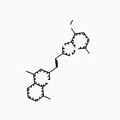 COc1ccc(C)n2nc(/C=C/c3cc(Cl)c4cccc(F)c4n3)nc12